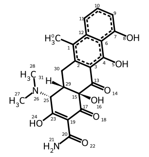 Cc1c2c(c(O)c3c(O)cccc13)C(=O)[C@]1(O)C(=O)C(C(N)=O)=C(O)[C@H](N(C)C)[C@@H]1C2